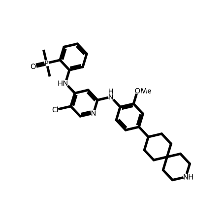 COc1cc(C2CCC3(CCNCC3)CC2)ccc1Nc1cc(Nc2ccccc2P(C)(C)=O)c(Cl)cn1